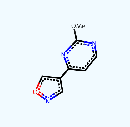 COc1nccc(-c2cnoc2)n1